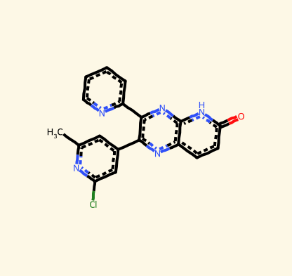 Cc1cc(-c2nc3ccc(=O)[nH]c3nc2-c2ccccn2)cc(Cl)n1